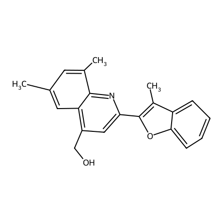 Cc1cc(C)c2nc(-c3oc4ccccc4c3C)cc(CO)c2c1